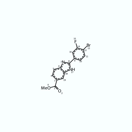 COC(=O)c1ccc2nc(-c3ccc(Br)c(F)c3)[nH]c2c1